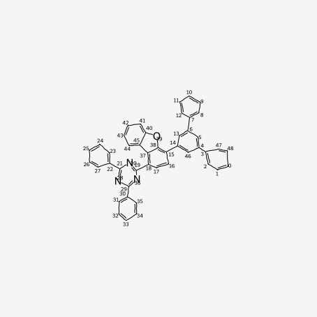 c1ccc(-c2cc(-c3ccccc3)cc(-c3ccc(-c4nc(-c5ccccc5)nc(-c5ccccc5)n4)c4c3oc3ccccc34)c2)cc1